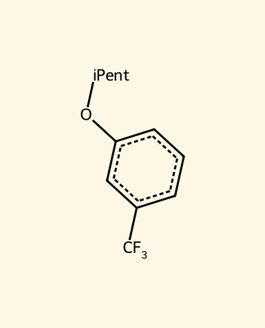 [CH2]CCC(C)Oc1cccc(C(F)(F)F)c1